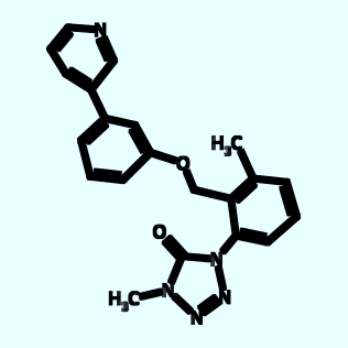 Cc1cccc(-n2nnn(C)c2=O)c1COc1cccc(-c2cccnc2)c1